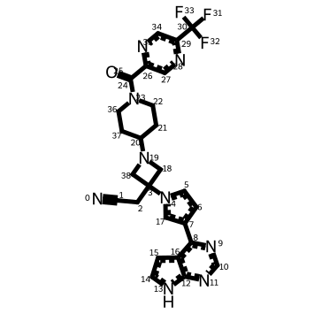 N#CCC1(n2ccc(-c3ncnc4[nH]ccc34)c2)CN(C2CCN(C(=O)c3cnc(C(F)(F)F)cn3)CC2)C1